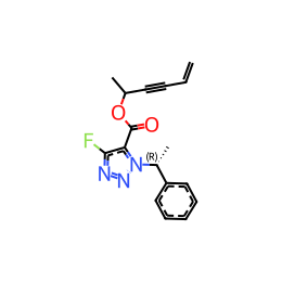 C=CC#CC(C)OC(=O)c1c(F)nnn1[C@H](C)c1ccccc1